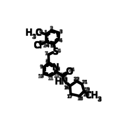 Cc1cccc(SCc2cccc(C(=O)NC3CCC(C)CC3)n2)c1Cl